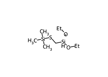 CCO[SiH](CS[Si](C)(C)C)OCC